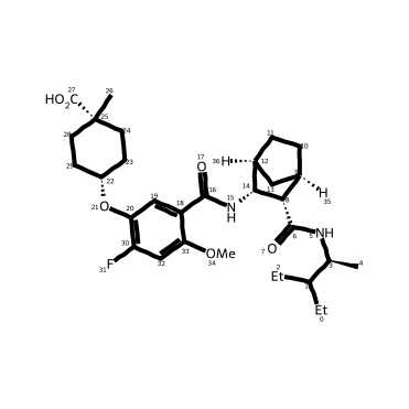 CCC(CC)[C@H](C)NC(=O)[C@H]1[C@@H]2CC[C@@H](C2)[C@H]1NC(=O)c1cc(O[C@H]2CC[C@@](C)(C(=O)O)CC2)c(F)cc1OC